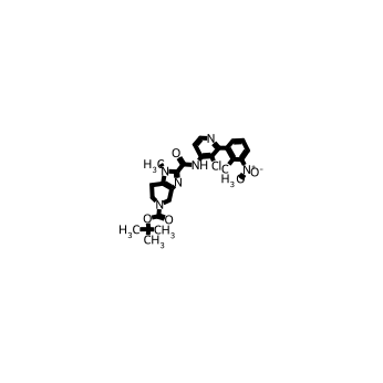 Cc1c(-c2nccc(NC(=O)c3nc4c(n3C)CCN(C(=O)OC(C)(C)C)C4)c2Cl)cccc1[N+](=O)[O-]